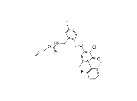 C=CCOC(=O)NCc1cc(F)ccc1COc1cc(C)n(-c2c(F)cccc2F)c(=O)c1Cl